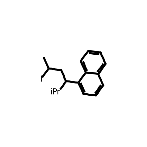 CC(I)CC(c1cccc2ccccc12)C(C)C